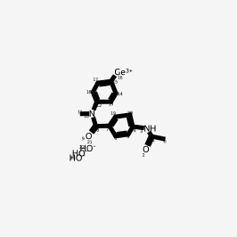 CC(=O)Nc1ccc(C(=O)N(C)c2cc[c]([Ge+3])cc2)cc1.[OH-].[OH-].[OH-]